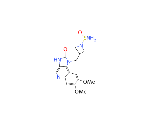 COc1cc2ncc3[nH]c(=O)n(CC4CN([S+](N)[O-])C4)c3c2cc1OC